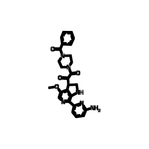 COc1cnc(-c2cccc(N)n2)c2c1C(C(=O)C(=O)N1CCN(C(=O)c3ccccc3)CC1)CN2